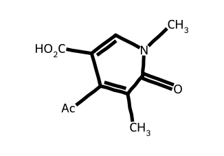 CC(=O)c1c(C(=O)O)cn(C)c(=O)c1C